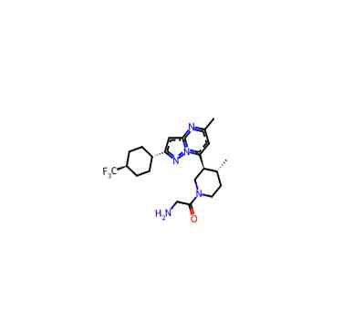 Cc1cc([C@@H]2CN(C(=O)CN)CC[C@H]2C)n2nc([C@H]3CC[C@H](C(F)(F)F)CC3)cc2n1